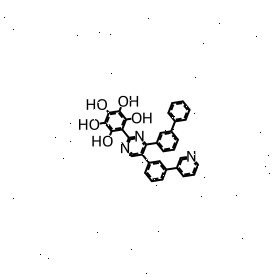 Oc1c(O)c(O)c(-c2ncc(-c3cccc(-c4cccnc4)c3)c(-c3cccc(-c4ccccc4)c3)n2)c(O)c1O